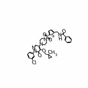 CC1(COc2c(N3CCN(S(=O)(=O)c4ccc(CNC(=O)c5ccccc5)s4)CC3)cnn(-c3cccc(Cl)c3)c2=O)CC1